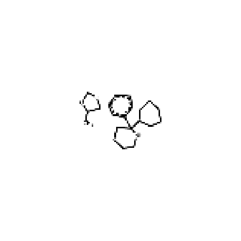 CC1COCO1.c1ccc(C2(C3CCCCC3)CCCCN2)cc1